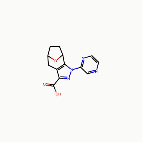 O=C(O)c1nn(-c2cnccn2)c2c1CC1CCC2O1